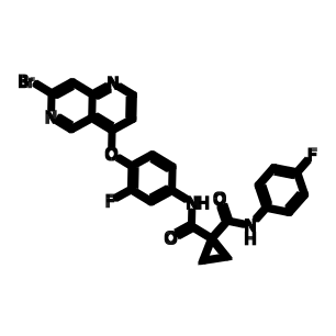 O=C(Nc1ccc(F)cc1)C1(C(=O)Nc2ccc(Oc3ccnc4cc(Br)ncc34)c(F)c2)CC1